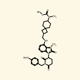 COc1ccc(CN2C(=O)CCC(n3c(=O)n(C)c4c(NCC5CC6(CCC(N(C)C(=O)OC(C)(C)C)CC6)C5)cccc43)C2=O)cc1